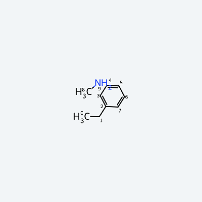 CCc1ccccc1.CN